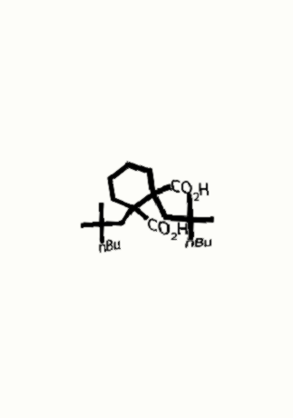 CCCCC(C)(C)CC1(C(=O)O)CCCCC1(CC(C)(C)CCCC)C(=O)O